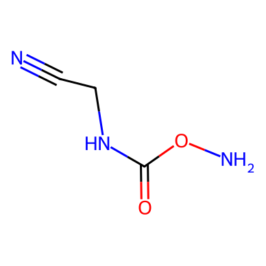 N#CCNC(=O)ON